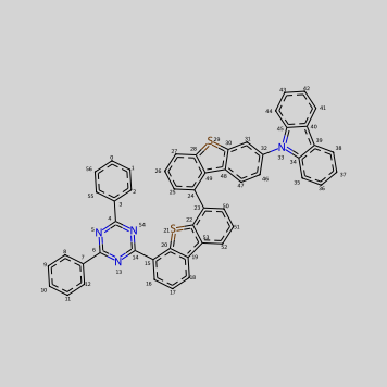 c1ccc(-c2nc(-c3ccccc3)nc(-c3cccc4c3sc3c(-c5cccc6sc7cc(-n8c9ccccc9c9ccccc98)ccc7c56)cccc34)n2)cc1